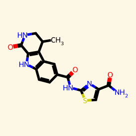 CC1CNC(=O)c2[nH]c3ccc(C(=O)Nc4nc(C(N)=O)cs4)cc3c21